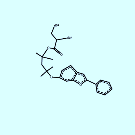 CC(C)(C)CC(C(=O)OC(C)(C)CC(C)(C)Oc1ccc2cc(-c3ccccc3)oc2c1)C(C)(C)C